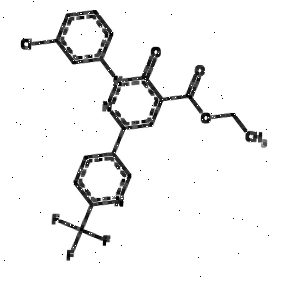 CCOC(=O)c1cc(-c2ccc(C(F)(F)F)nc2)nn(-c2cccc(Cl)c2)c1=O